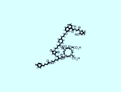 Cc1ccc(CCCC(=O)NCCCCC(CSC2CC(=O)N(CCCC(=O)N3CCC(CCCOc4ccc5nccc(C(=O)NCC(=O)N6CC(F)(F)C[C@@H]6C#N)c5c4)CC3)C2=O)NC(=O)CN2CCN(CC(=O)O)CCN(CC(=O)O)CCN(CC(=O)O)CC2)cc1